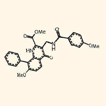 COC(=O)c1[nH]c2c(-c3ccccc3)c(OC)ccc2c(=O)c1CNC(=O)c1ccc(OC)cc1